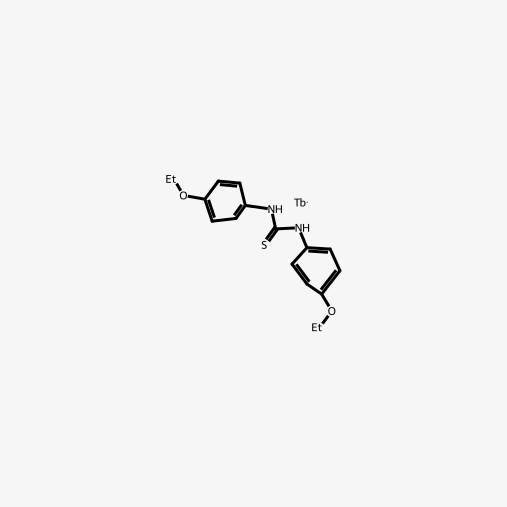 CCOc1ccc(NC(=S)Nc2ccc(OCC)cc2)cc1.[Tb]